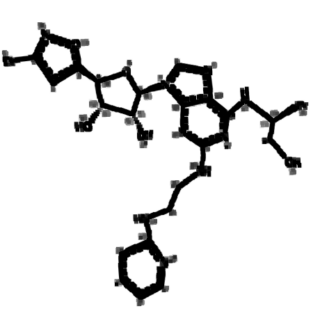 CCc1cc([C@H]2O[C@@H](n3cnc4c(N[C@H](CO)C(C)C)nc(NCCNc5ccccn5)nc43)[C@H](O)[C@@H]2O)on1